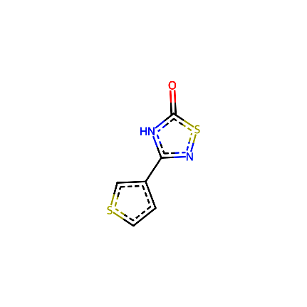 O=c1[nH]c(-c2ccsc2)ns1